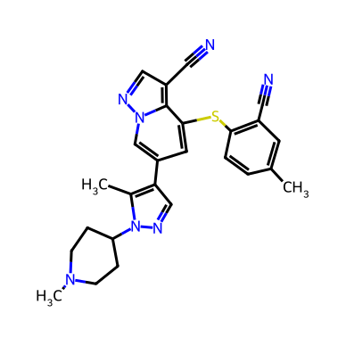 Cc1ccc(Sc2cc(-c3cnn(C4CCN(C)CC4)c3C)cn3ncc(C#N)c23)c(C#N)c1